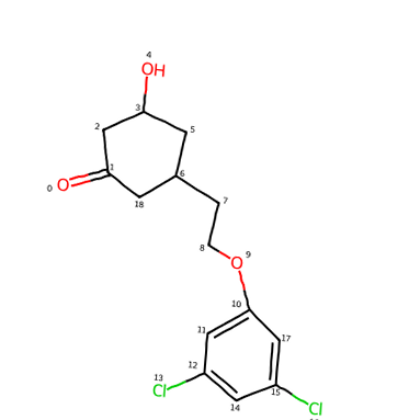 O=C1CC(O)CC(CCOc2cc(Cl)cc(Cl)c2)C1